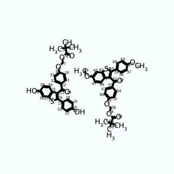 CC(C)(C)C(=O)OCOc1ccc(C(=O)c2c(-c3ccc(O)cc3)sc3cc(O)ccc23)cc1.COc1ccc(-c2sc3cc(OC)ccc3c2C(=O)c2ccc(OCOC(=O)C(C)(C)C)cc2)cc1